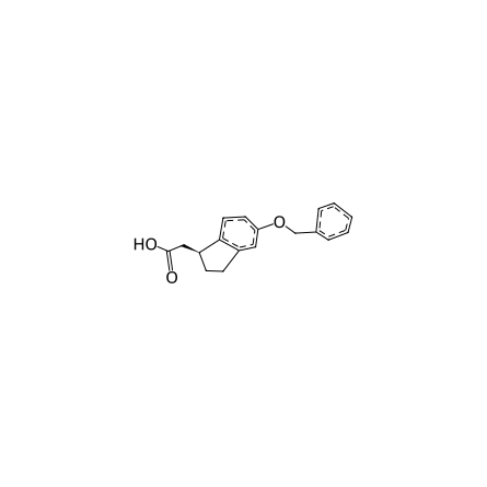 O=C(O)C[C@@H]1CCc2cc(OCc3ccccc3)ccc21